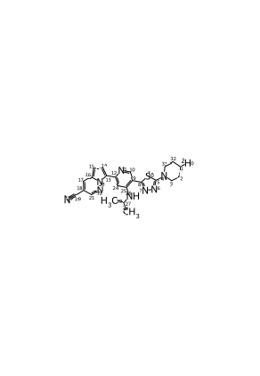 [2H]C1CCN(c2nnc(-c3cnc(-c4ccc5cc(C#N)cnn45)cc3NC(C)C)s2)CC1